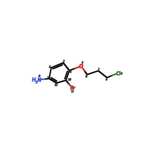 Nc1ccc(OCCCCl)c(Br)c1